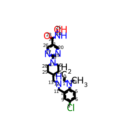 C=CN(C)c1ccc(Cl)cc1CNCC1CCN(c2ncc(C(=O)NO)cn2)CC1